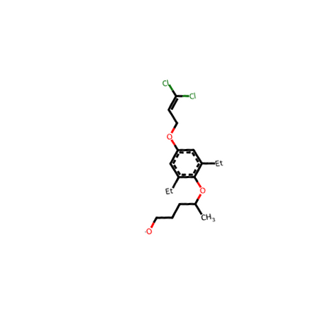 CCc1cc(OCC=C(Cl)Cl)cc(CC)c1OC(C)CCC[O]